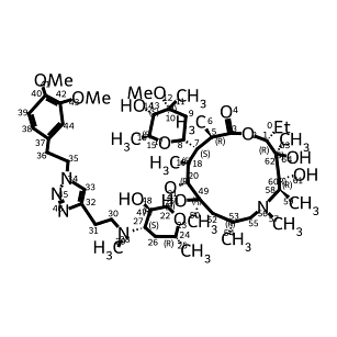 CC[C@H]1OC(=O)[C@H](C)[C@@H](C2C[C@@](C)(OC)[C@@H](O)[C@H](C)O2)[C@H](C)[C@@H](O[C@@H]2O[C@H](C)C[C@H](N(C)CCc3cn(CCc4ccc(OC)c(OC)c4)nn3)[C@H]2O)[C@](C)(O)C[C@@H](C)CN(C)[C@H](C)[C@@H](O)[C@]1(C)O